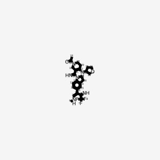 CN/C=C(\C(=N)C(F)(F)F)c1ccc2c(c1)CCN2C(=N)C1=C(NC2CCOC2)CCN(C(C)=O)C1